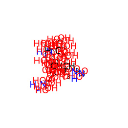 CC1CC(OC2OC(COC3OC(CO)C(O)C(O)C3OC3OC(CO)C(OC4OC(COC5(C(=O)O)CC(O)C(N)C([C@H](O)[C@H](O)CO)O5)C(O)C(O)C4O)C(O)C3C)C(O)C(OC3OC(CO)C(O)C(O)C3OC3OC(CO)C(OC4OC(COC5(C(=O)O)CC(O)C(N)C(CO)([C@H](O)CO)O5)C(O)C(O)C4O)C(O)C3C)C2O)C(CO)OC1OC1C(CO)OC(OCCNC(=O)CCN2C(=O)C=CC2=O)C(C)C1O